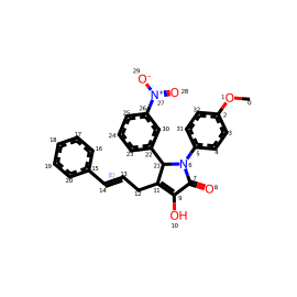 COc1ccc(N2C(=O)C(O)=C(C/C=C/c3ccccc3)C2c2cccc([N+](=O)[O-])c2)cc1